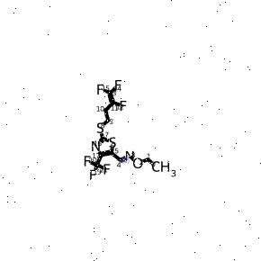 CCO/N=C/c1sc(SCCC(F)=C(F)F)nc1C(F)(F)F